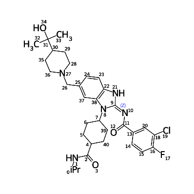 CC(C)NC(=O)C1CCC(n2/c(=N\C(=O)c3ccc(F)c(Cl)c3)[nH]c3ccc(CN4CCC(C(C)(C)O)CC4)cc32)CC1